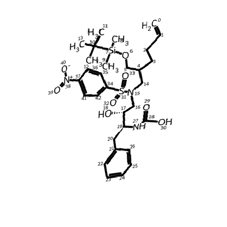 C=CCCC(CO[Si](C)(C)C(C)(C)C)CN(C[C@@H](O)[C@H](Cc1ccccc1)NC(=O)O)S(=O)(=O)c1ccc([N+](=O)[O-])cc1